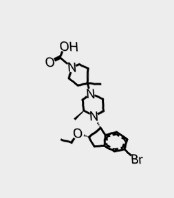 CCO[C@H]1Cc2cc(Br)ccc2[C@H]1N1CCN(C2(C)CCN(C(=O)O)CC2)C[C@@H]1C